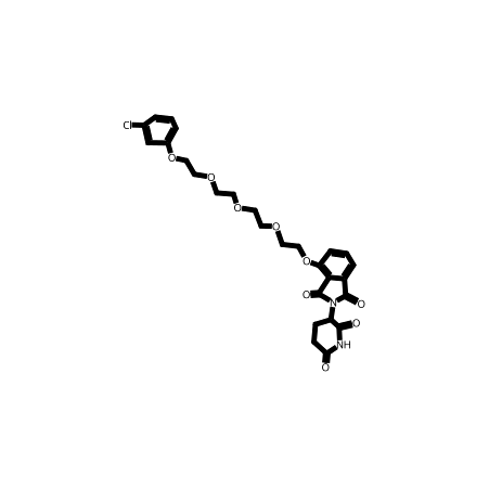 O=C1CCC(N2C(=O)c3cccc(OCCOCCOCCOCCOc4cccc(Cl)c4)c3C2=O)C(=O)N1